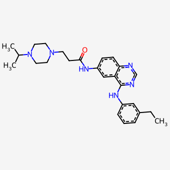 CCc1cccc(Nc2ncnc3ccc(NC(=O)CCN4CCN(C(C)C)CC4)cc23)c1